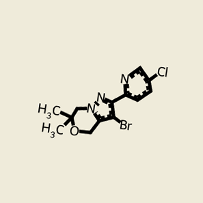 CC1(C)Cn2nc(-c3ccc(Cl)cn3)c(Br)c2CO1